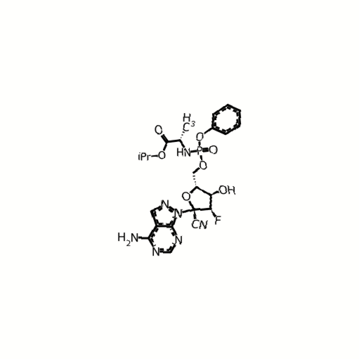 CC(C)OC(=O)[C@H](C)NP(=O)(OC[C@H]1O[C@@](C#N)(n2ncc3c(N)ncnc32)[C@H](F)[C@@H]1O)Oc1ccccc1